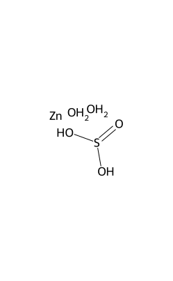 O.O.O=S(O)O.[Zn]